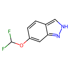 FC(F)Oc1ccc2c[nH]nc2c1